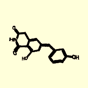 O=C1CC2=CC(=Cc3cccc(O)c3)CC(O)=C2C(=O)N1